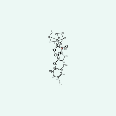 COC(=O)C12CC3CC(C1)C(OC(=O)N1CC[C@@H](Oc4ncc(F)cc4F)C1)C(C3)C2